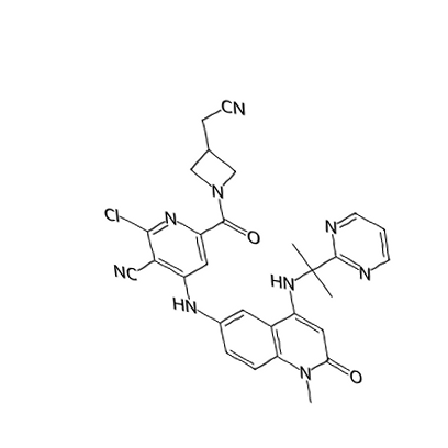 Cn1c(=O)cc(NC(C)(C)c2ncccn2)c2cc(Nc3cc(C(=O)N4CC(CC#N)C4)nc(Cl)c3C#N)ccc21